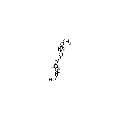 CCOc1cnc(N2CCC(CCCOc3cc(F)c(CC(=O)N4CC(CO)C4)c(F)c3)CC2)nc1